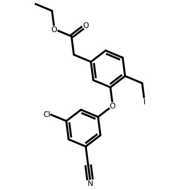 CCOC(=O)Cc1ccc(CI)c(Oc2cc(Cl)cc(C#N)c2)c1